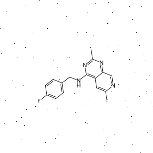 Cc1nc(NCc2ccc(F)cc2)c2cc(F)ncc2n1